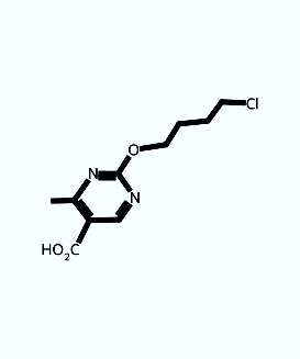 Cc1nc(OCCCCCl)ncc1C(=O)O